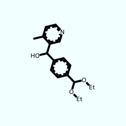 CCOC(OCC)c1ccc(C(O)c2cnccc2C)cc1